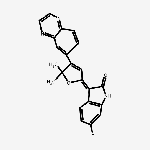 CC1(C)O/C(=C2/C(=O)Nc3cc(F)ccc32)C=C1c1ccc2nccnc2c1